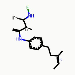 C=C(Nc1ccc(CC/C(C)=C\C)cc1)[C@H](C)C(NF)C(C)C